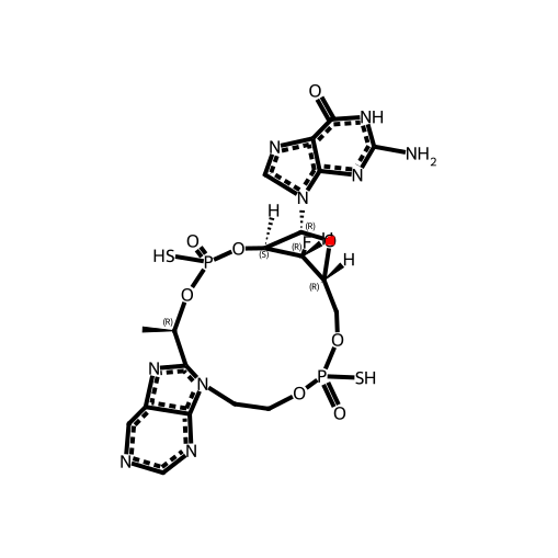 C[C@H]1OP(=O)(S)O[C@@H]2[C@H](F)[C@@H](COP(=O)(S)OCCn3c1nc1cncnc13)O[C@H]2n1cnc2c(=O)[nH]c(N)nc21